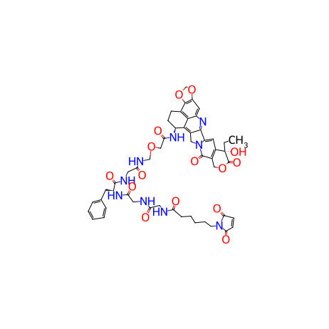 CC[C@@]1(O)C(=O)OCc2c1cc1n(c2=O)Cc2c-1nc1cc3c(c4c1c2[C@@H](NC(=O)COCNC(=O)CNC(=O)[C@H](Cc1ccccc1)NC(=O)CNC(=O)CNC(=O)CCCCCN1C(=O)C=CC1=O)CC4)OCO3